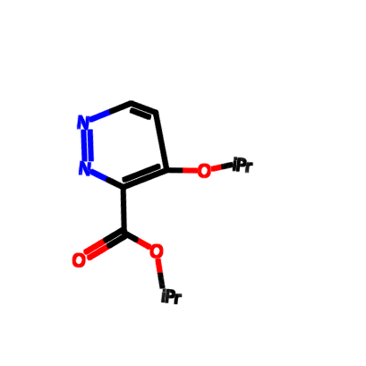 CC(C)OC(=O)c1nnccc1OC(C)C